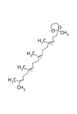 CC(C)=CCC/C(C)=C/CC/C(C)=C/CC/C(C)=C/CCC1(C)OCCCO1